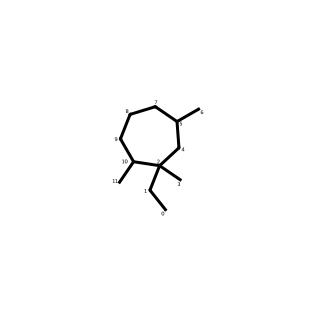 CCC1(C)CC(C)CCCC1C